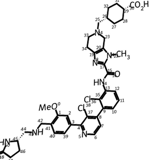 COc1cc(-c2nccc(-c3cccc(NC(=O)c4nc5c(n4C)CN(C[C@H]4CC[C@@H](C(=O)O)CC4)CC5)c3Cl)c2Cl)ccc1CNC[C@@H]1CCC(=O)N1